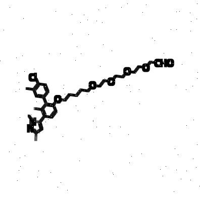 Cc1cc(-c2ccc(OCCCCCOCCOCCOCCOCC=O)c(-c3ccc(Cl)c(C)c3)c2C)n(C)n1